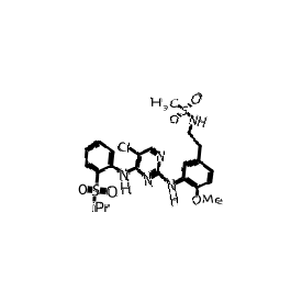 COc1ccc(CCNS(C)(=O)=O)cc1Nc1ncc(Cl)c(Nc2ccccc2S(=O)(=O)C(C)C)n1